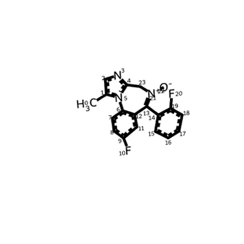 Cc1cnc2n1-c1ccc(F)cc1C(c1ccccc1F)=[N+]([O-])C2